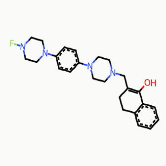 OC1=C(CN2CCN(c3ccc(N4CCN(F)CC4)cc3)CC2)CCc2ccccc21